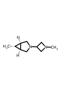 C[C@@H]1[C@H]2CN(C3CN(C)C3)C[C@@H]12